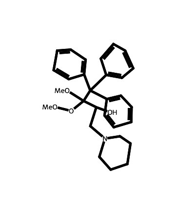 COOC(OC)(C(O)CN1CCCCC1)C(c1ccccc1)(c1ccccc1)c1ccccc1